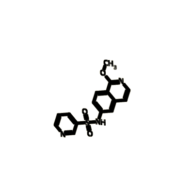 COc1nccc2cc(NS(=O)(=O)c3cccnc3)ccc12